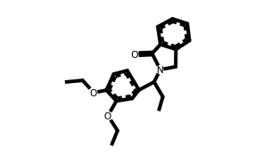 CCOc1ccc(C(CC)N2Cc3ccccc3C2=O)cc1OCC